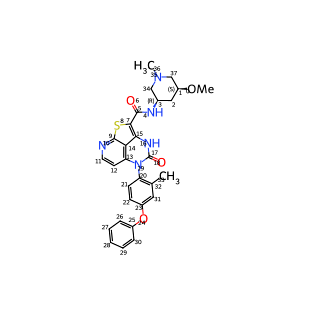 CO[C@H]1C[C@@H](NC(=O)c2sc3nccc4c3c2NC(=O)N4c2ccc(Oc3ccccc3)cc2C)CN(C)C1